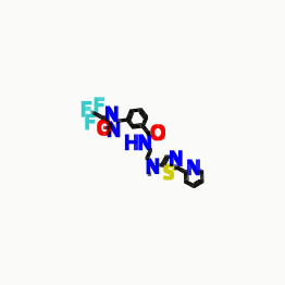 CN(CCNC(=O)c1cccc(-c2noc(C(F)(F)F)n2)c1)c1cnc(-c2ccccn2)s1